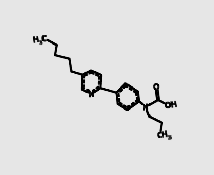 CCCCCc1ccc(-c2ccc(N(CCC)C(=O)O)cc2)nc1